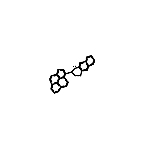 [C]1c2cc3ccccc3cc2CCC1c1ccc2ccc3cccc4ccc1c2c34